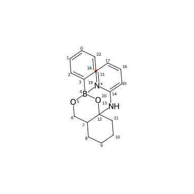 c1ccc([B-]23OCC4CCCCC4(Nc4cccc[n+]42)O3)cc1